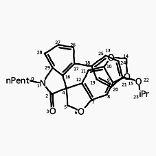 CCCCCN1C(=O)C2(COc3cc4c(cc32)OCO4)c2c(-c3ccc(OC(C)C)cc3)cccc21